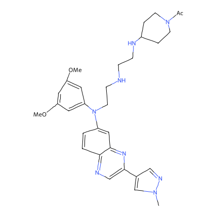 COc1cc(OC)cc(N(CCNCCNC2CCN(C(C)=O)CC2)c2ccc3ncc(-c4cnn(C)c4)nc3c2)c1